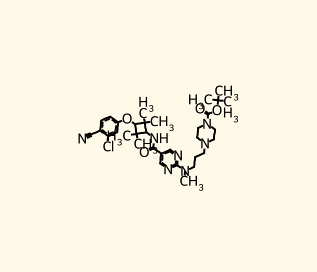 CN(CCCN1CCN(C(=O)OC(C)(C)C)CC1)c1ncc(C(=O)NC2C(C)(C)C(Oc3ccc(C#N)c(Cl)c3)C2(C)C)cn1